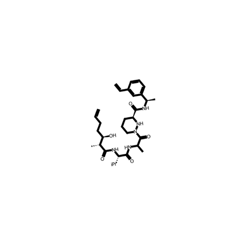 C=CCC[C@@H](O)[C@@H](C)C(=O)N[C@H](C(=O)NC(C)C(=O)N1CCC[C@@H](C(=O)N[C@H](C)c2cccc(C=C)c2)N1)C(C)C